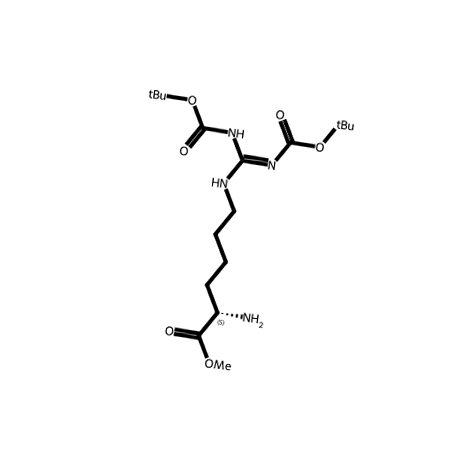 COC(=O)[C@@H](N)CCCCNC(=NC(=O)OC(C)(C)C)NC(=O)OC(C)(C)C